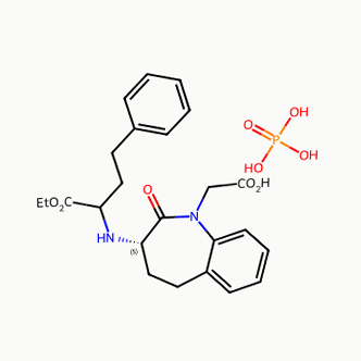 CCOC(=O)C(CCc1ccccc1)N[C@H]1CCc2ccccc2N(CC(=O)O)C1=O.O=P(O)(O)O